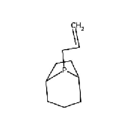 C=CCP1C2CCCC1CC2